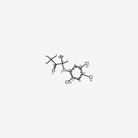 CC(C)(C)C(=O)C(C)(Br)Oc1cc(Cl)c(Cl)cc1Cl